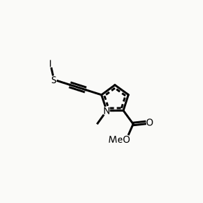 COC(=O)c1ccc(C#CSI)n1C